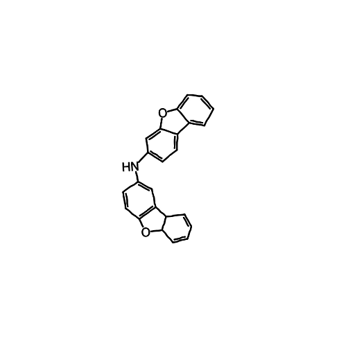 C1=CC2Oc3ccc(Nc4ccc5c(c4)oc4ccccc45)cc3C2C=C1